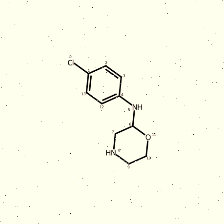 Clc1ccc(NC2CNCCO2)cc1